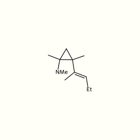 CC/C=C(\C)C1(C)CC1(C)NC